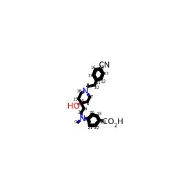 CN(CCC1(O)CCN(CCc2ccc(C#N)cc2)CC1)c1ccc(C(=O)O)cc1